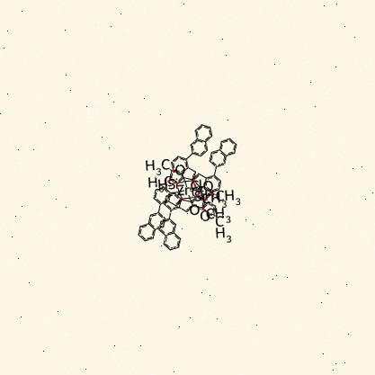 Cc1ccc(C2=Cc3c(-c4ccc5ccccc5c4)cccc3[C]23[SiH](C)[C]2(C(c4ccc(C)o4)=Cc4c(-c5ccc6ccccc6c5)cccc42)[Zr]32([Cl])([Cl])[C]3(C(c4ccc(C)o4)=Cc4c(-c5ccc6ccccc6c5)cccc43)[SiH](C)[C]23C(c2ccc(C)o2)=Cc2c(-c4ccc5ccccc5c4)cccc23)o1